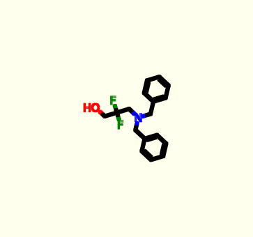 OCC(F)(F)CN(Cc1ccccc1)Cc1ccccc1